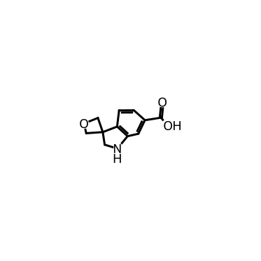 O=C(O)c1ccc2c(c1)NCC21COC1